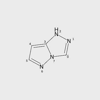 [c]1n[nH]c2ccnn12